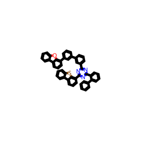 c1ccc(-c2ccccc2-c2nc(-c3cccc(-c4cccc(-c5cccc6c5oc5ccccc56)c4)c3)nc(-c3cccc4c3sc3ccccc34)n2)cc1